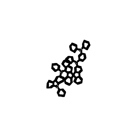 c1ccc(N(c2ccccc2)c2cccc(N(c3ccccc3)c3ccc4c(c3)C3(c5ccccc5-4)c4ccccc4-c4c3cc3ccccc3c4N(c3ccccc3)c3ccc4c(c3)c3ccccc3n4-c3ccccc3)c2)cc1